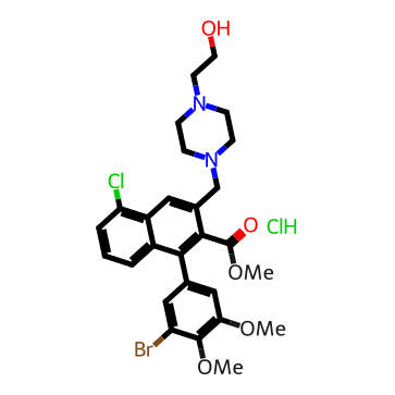 COC(=O)c1c(CN2CCN(CCO)CC2)cc2c(Cl)cccc2c1-c1cc(Br)c(OC)c(OC)c1.Cl